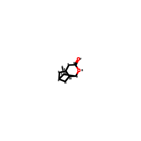 C[C@H]1C2CC3CC(=O)OC1C3C2